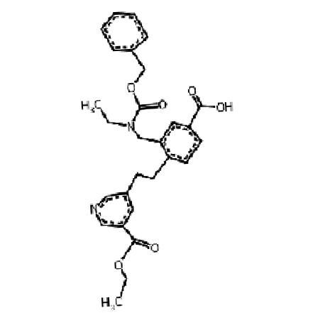 CCOC(=O)c1cncc(CCc2ccc(C(=O)O)cc2CN(CC)C(=O)OCc2ccccc2)c1